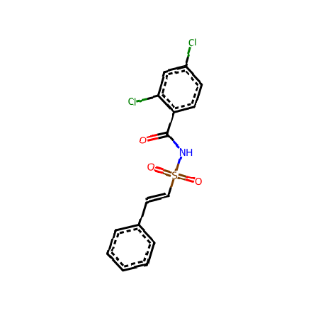 O=C(NS(=O)(=O)/C=C/c1ccccc1)c1ccc(Cl)cc1Cl